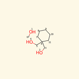 CO.OCC1(CO)CCCCC1